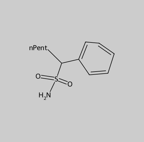 CCCCCC(c1ccccc1)S(N)(=O)=O